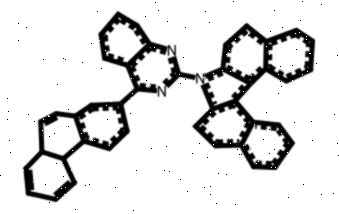 C1=CC2C=Cc3cc(-c4nc(-n5c6ccc7ccccc7c6c6c7ccccc7ccc65)nc5ccccc45)ccc3C2C=C1